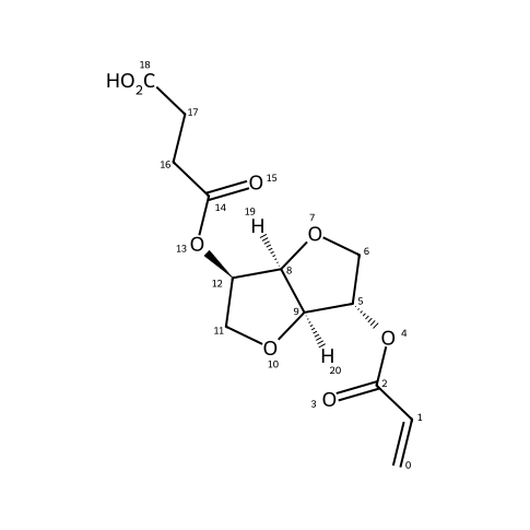 C=CC(=O)O[C@H]1CO[C@H]2[C@@H]1OC[C@H]2OC(=O)CCC(=O)O